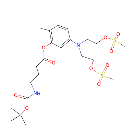 Cc1ccc(N(CCOS(C)(=O)=O)CCOS(C)(=O)=O)cc1OC(=O)CCCNC(=O)OC(C)(C)C